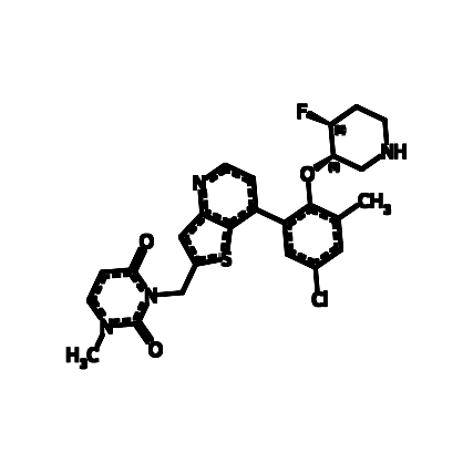 Cc1cc(Cl)cc(-c2ccnc3cc(Cn4c(=O)ccn(C)c4=O)sc23)c1O[C@@H]1CNCC[C@@H]1F